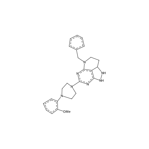 COc1ccccc1N1CCN(c2nc3c4c(n2)N(Cc2ccccc2)CCC4NN3)CC1